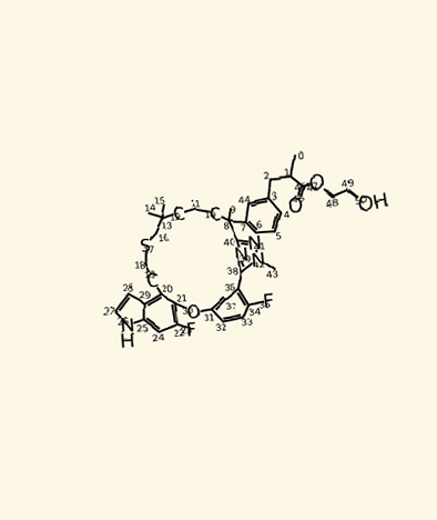 CC(Cc1cccc(C2(C)CCCC(C)(C)CSCCc3c(c(F)cc4[nH]ccc34)Oc3ccc(F)c(c3)-c3nc2nn3C)c1)C(=O)OCCO